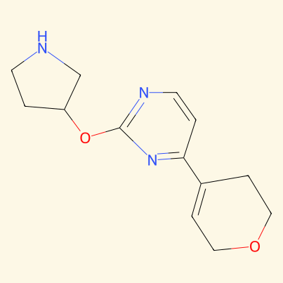 C1=C(c2ccnc(OC3CCNC3)n2)CCOC1